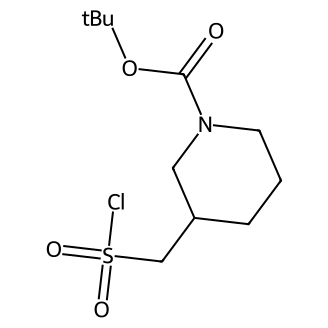 CC(C)(C)OC(=O)N1CCCC(CS(=O)(=O)Cl)C1